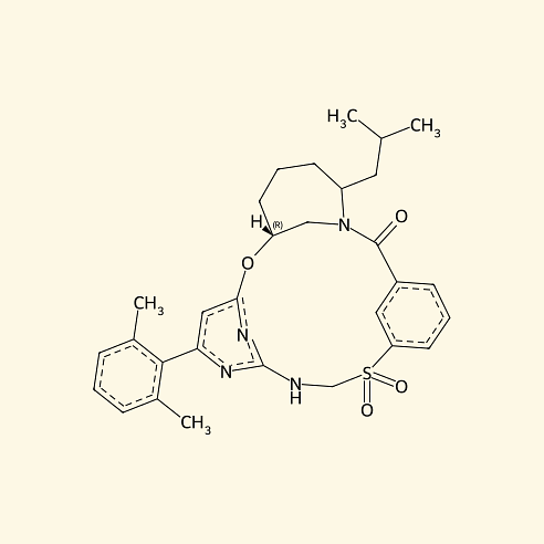 Cc1cccc(C)c1-c1cc2nc(n1)NCS(=O)(=O)c1cccc(c1)C(=O)N1C[C@@H](CCCC1CC(C)C)O2